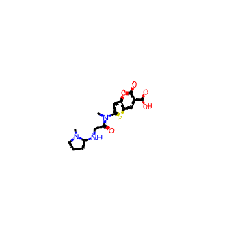 CN(C(=O)CNC1CCCN1C)c1cc2oc(=O)c(C(=O)O)cc2s1